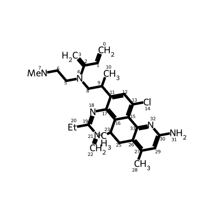 C=CC(=C)N(CCNC)CC(C)c1cc(Cl)c2c(c1/N=C(/CC)N=C)C(C)Cc1c(C)cc(N)nc1-2